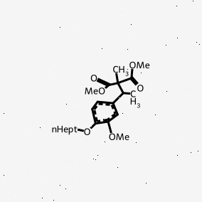 CCCCCCCOc1ccc(C(C)C(C)(C(=O)OC)C(=O)OC)cc1OC